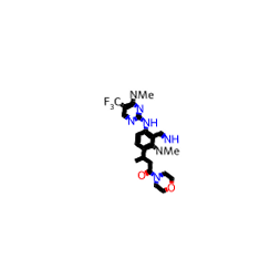 CNc1nc(Nc2ccc(C(C)CC(=O)N3CCOCC3)c(NC)c2C=N)ncc1C(F)(F)F